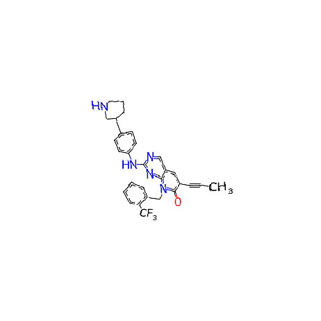 CC#Cc1cc2cnc(Nc3ccc(C4CCCNC4)cc3)nc2n(Cc2ccccc2C(F)(F)F)c1=O